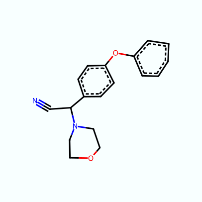 N#CC(c1ccc(Oc2ccccc2)cc1)N1CCOCC1